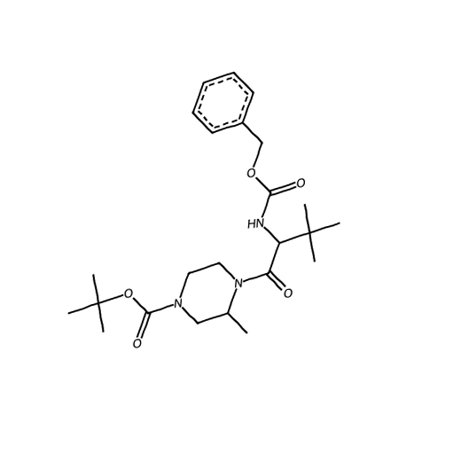 CC1CN(C(=O)OC(C)(C)C)CCN1C(=O)C(NC(=O)OCc1ccccc1)C(C)(C)C